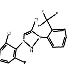 Fc1cccc(Cl)c1N1C=C(Cl)N(c2ccccc2C(F)(F)F)N1